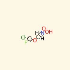 O=C(O)N1C[C@H]2C[C@@H](Oc3ccc(Cl)c(F)c3)C[C@H]2C1